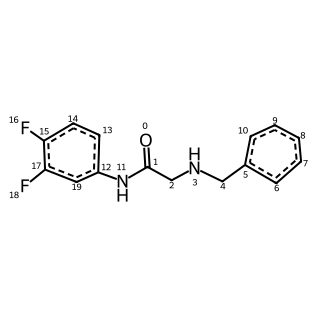 O=C(CNCc1ccccc1)Nc1ccc(F)c(F)c1